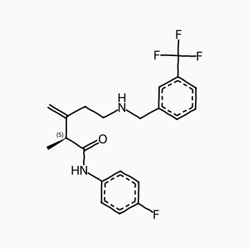 C=C(CCNCc1cccc(C(F)(F)F)c1)[C@H](C)C(=O)Nc1ccc(F)cc1